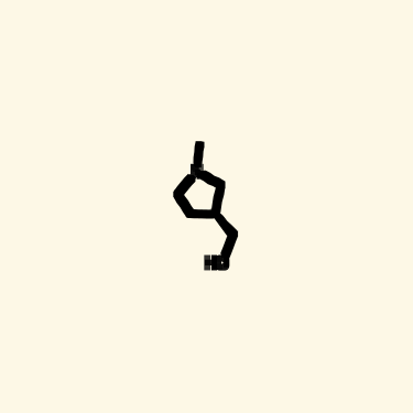 CN1CC[C@H](CO)C1